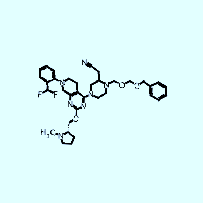 CN1CCC[C@H]1COc1nc2c(c(N3CCN(COCOCc4ccccc4)C(CC#N)C3)n1)CCN(c1ccccc1C(F)F)C2